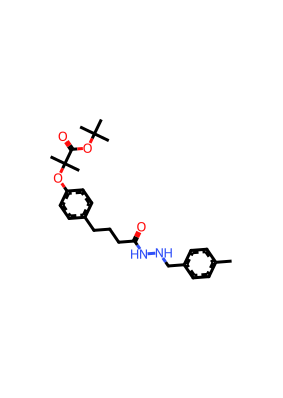 Cc1ccc(CNNC(=O)CCCc2ccc(OC(C)(C)C(=O)OC(C)(C)C)cc2)cc1